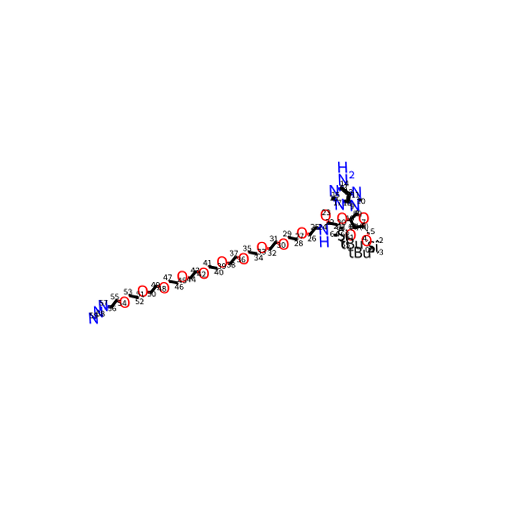 CC(C)(C)[Si](C)(C)OC[C@H]1O[C@@H](n2cnc3c(N)ncnc32)C(OCC(=O)NCCOCCOCCOCCOCCOCCOCCOCCOCCOCCOCCN=[N+]=[N-])[C@@H]1O[Si](C)(C)C(C)(C)C